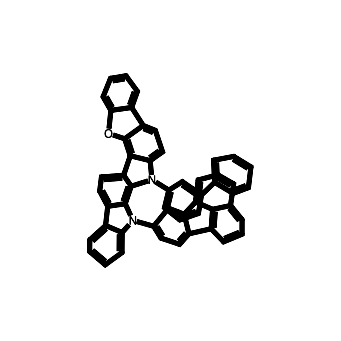 c1ccc(-c2cccc(-n3c4ccc5c6ccccc6oc5c4c4ccc5c6ccccc6n(-c6ccc7c(c6)-c6cccc8cccc-7c68)c5c43)c2)cc1